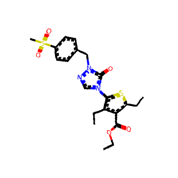 CCOC(=O)c1c(CC)sc(-n2cnn(Cc3ccc(S(C)(=O)=O)cc3)c2=O)c1CC